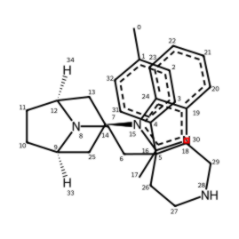 Cc1ccc(C2(CCN3[C@@H]4CC[C@H]3C[C@@H](n3c(C)nc5ccccc53)C4)CCNCC2)cc1